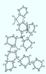 CC1(C)c2ccccc2-c2ccc(N(c3ccccc3-c3ccccc3)c3cccc4c3Cc3c-4cc4ccccc4c3-c3ccc(-c4ccccc4)cc3)cc21